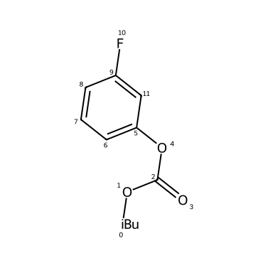 CCC(C)OC(=O)Oc1cccc(F)c1